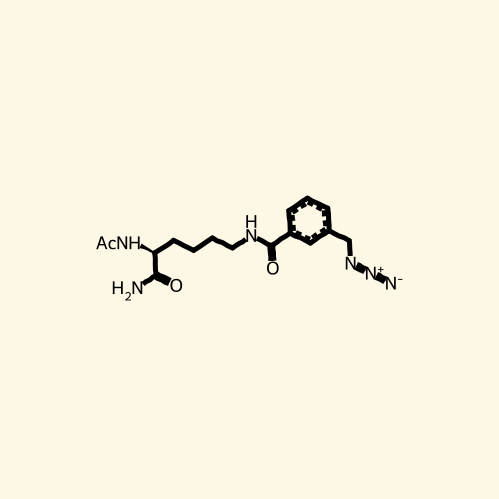 CC(=O)N[C@@H](CCCCNC(=O)c1cccc(CN=[N+]=[N-])c1)C(N)=O